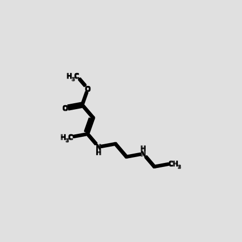 CCNCCNC(C)=CC(=O)OC